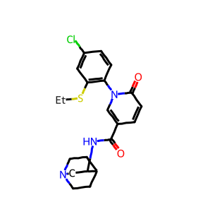 CCSc1cc(Cl)ccc1-n1cc(C(=O)NC2CN3CCC2CC3)ccc1=O